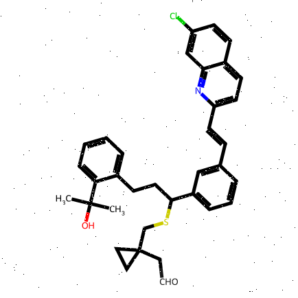 CC(C)(O)c1ccccc1CCC(SCC1(CC=O)CC1)c1cccc(/C=C/c2ccc3ccc(Cl)cc3n2)c1